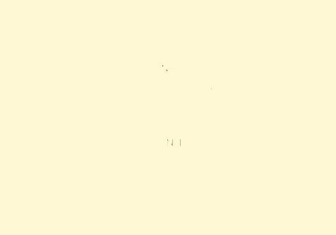 CC/C(N)=C(\C)C(=N)C=O